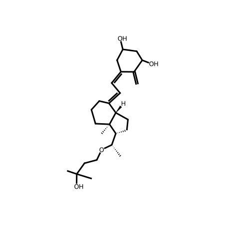 C=C1C(=CC=C2CCC[C@]3(C)[C@@H]([C@H](C)OCCC(C)(C)O)CC[C@@H]23)CC(O)CC1O